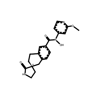 COc1cc(N(O)C(=O)c2ccc3c(c2)CC[C@]2(CCNC2=O)C3)ccn1